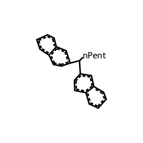 [CH2]CCCCC(c1ccc2ccccc2c1)c1ccc2ccccc2c1